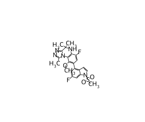 COc1c(-c2cc(F)cc3c2ccn3S(C)(=O)=O)cc(F)c2c1-n1c(C)nnc1C(C)(C)N2